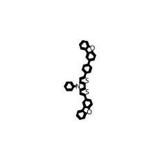 c1ccc(-n2c3cc(-c4ccc(-c5ccc6oc7ccccc7c6c5)cc4)sc3c3sc(-c4ccc5oc6ccccc6c5c4)cc32)cc1